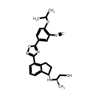 [C-]#[N+]c1cc(-c2nc(-c3cccc4c3CC[C@@H]4N[C@H](C)CO)no2)ccc1OC(C)C